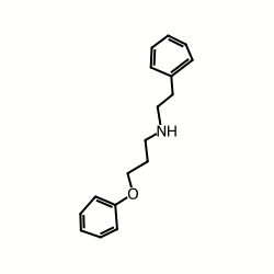 c1ccc(CCNCCCOc2ccccc2)cc1